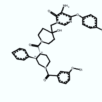 CCOc1cccc(C(=O)N2CC[C@@H](C(=O)N3CCC(O)(Cn4cnc(Oc5ccc(F)cc5)c(N)c4=O)CC3)[C@H](c3ccccc3)C2)c1